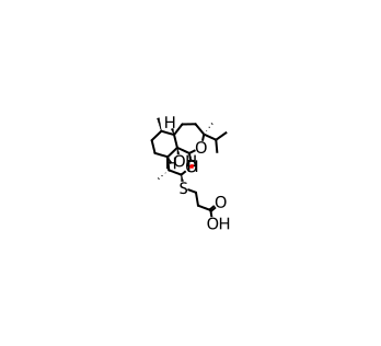 CC(C)[C@]1(C)CC[C@H]2[C@H](C)CC[C@H]3[C@@H](C)[C@H](SCCC(=O)O)O[C@H](O1)[C@]32O